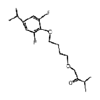 CC(C)C(=O)COCCCCOc1c(F)cc(C(C)C)cc1F